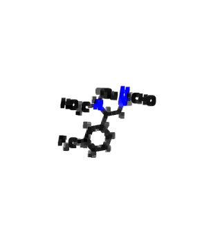 CC(C)(C)N(C(=O)O)C(CNC=O)c1cccc(C(F)(F)F)c1